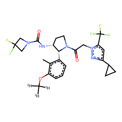 [2H]C([2H])([2H])Oc1cccc([C@@H]2[C@H](NC(=O)N3CC(F)(F)C3)CCN2C(=O)Cn2nc(C3CC3)cc2C(F)(F)F)c1C